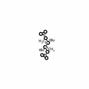 Cc1cc(-n2c3ccccc3c3ccccc32)ccc1-c1nc(-c2ccc(C(C)(C)C)c(-c3cc(-n4c5ccccc5c5ccccc54)ccc3C)n2)ccc1C(C)(C)C